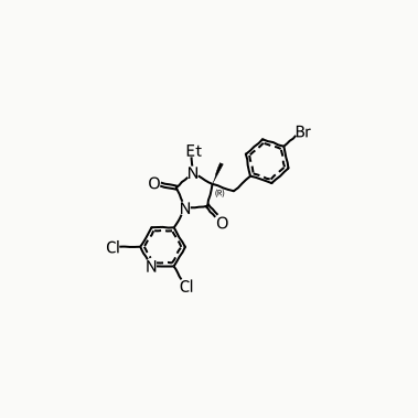 CCN1C(=O)N(c2cc(Cl)nc(Cl)c2)C(=O)[C@@]1(C)Cc1ccc(Br)cc1